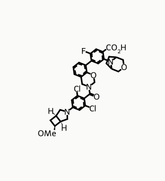 CO[C@H]1C[C@H]2CN(c3cc(Cl)c(C(=O)N4COc5c(cccc5-c5cc(N6C7CCC6COC7)c(C(=O)O)cc5F)C4)c(Cl)c3)C[C@H]21